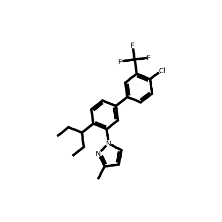 CCC(CC)c1ccc(-c2ccc(Cl)c(C(F)(F)F)c2)cc1-n1ccc(C)n1